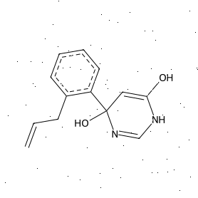 C=CCc1ccccc1C1(O)C=C(O)NC=N1